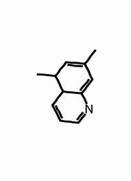 CC1=CC(C)C2C=CC=NC2=C1